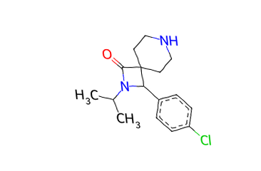 CC(C)N1C(=O)C2(CCNCC2)C1c1ccc(Cl)cc1